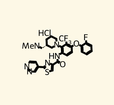 CNC[C@@H]1CCCN(c2c(NC(=O)c3csc(-c4ccnnc4)n3)ccc(Oc3ccccc3F)c2C(F)(F)F)C1.Cl